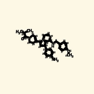 COc1ccc(CNc2nccn3c(C4=CCN(C(=O)C(C)C)CC4)cc(-c4ccc(N)cc4)c23)cc1